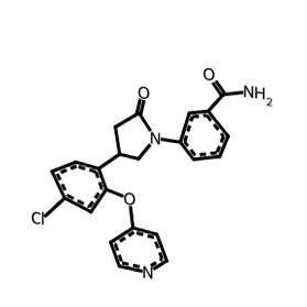 NC(=O)c1cccc(N2CC(c3ccc(Cl)cc3Oc3ccncc3)CC2=O)c1